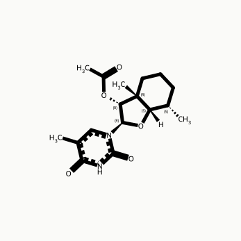 CC(=O)O[C@H]1[C@H](n2cc(C)c(=O)[nH]c2=O)O[C@H]2[C@@H](C)CCC[C@@]12C